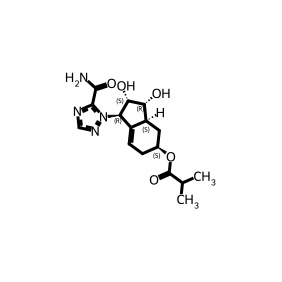 CC(C)C(=O)O[C@H]1CC=C2[C@@H](n3ncnc3C(N)=O)[C@H](O)[C@H](O)[C@H]2C1